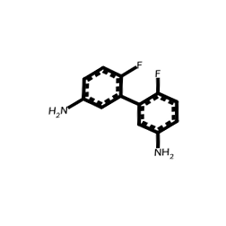 Nc1ccc(F)c(-c2cc(N)ccc2F)c1